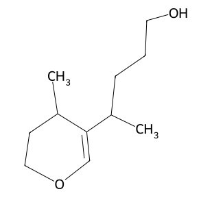 CC(CCCO)C1=COCCC1C